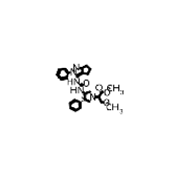 COCC(C(=O)OC)N1C[C@H](NC(=O)Nc2c3c(nn2-c2ccccc2)CCC3)[C@@H](c2ccccc2)C1